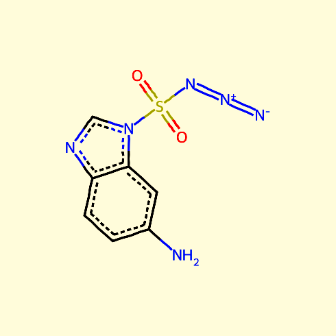 [N-]=[N+]=NS(=O)(=O)n1cnc2ccc(N)cc21